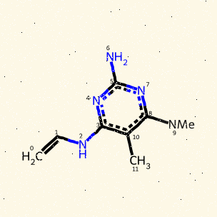 C=CNc1nc(N)nc(NC)c1C